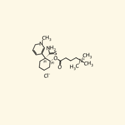 CN1C=C([C@]2(C(N)=S)CCCC[C@H]2OC(=O)CCC[N+](C)(C)C)C=CC1.[Cl-]